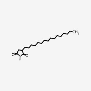 CCCCCCCCCCCCCCCCC1CC(=O)NC1=O